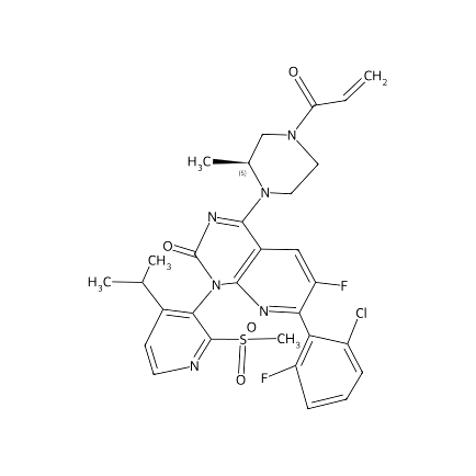 C=CC(=O)N1CCN(c2nc(=O)n(-c3c(C(C)C)ccnc3S(C)(=O)=O)c3nc(-c4c(F)cccc4Cl)c(F)cc23)[C@@H](C)C1